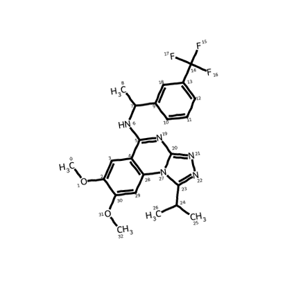 COc1cc2c(NC(C)c3cccc(C(F)(F)F)c3)nc3nnc(C(C)C)n3c2cc1OC